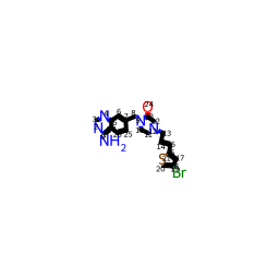 Nc1ncnc2cc(CN3CCN(CC=Cc4cc(Br)cs4)CC3=O)ccc12